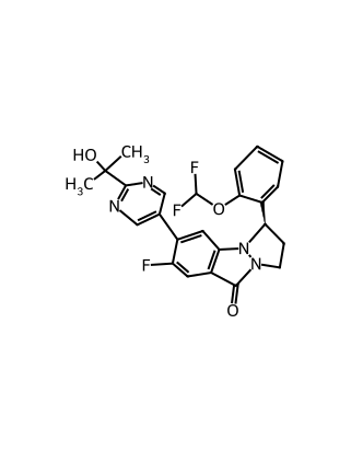 CC(C)(O)c1ncc(-c2cc3c(cc2F)c(=O)n2n3[C@@H](c3ccccc3OC(F)F)CC2)cn1